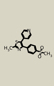 Cc1nc(-c2ccc(S(C)(=O)=O)cc2)c(-c2ccncc2)s1